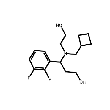 OCCC(c1cccc(F)c1F)N(CCO)CC1CCC1